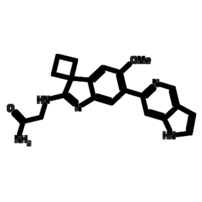 COc1cc2c(cc1-c1cc3[nH]ccc3cn1)N=C(NCC(N)=O)C21CCC1